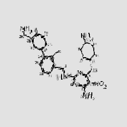 Cc1c(CNc2nc(N)c([N+](=O)[O-])c(C[C@H]3CC[C@H](N)CC3)n2)cccc1-c1cccc(CN)c1